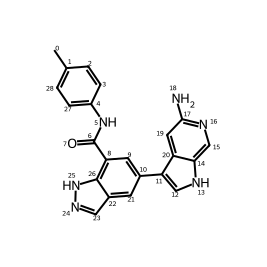 Cc1ccc(NC(=O)c2cc(-c3c[nH]c4cnc(N)cc34)cc3cn[nH]c23)cc1